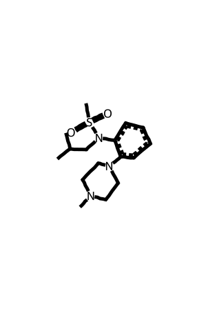 CC(C)CN(c1ccccc1N1CCN(C)CC1)S(C)(=O)=O